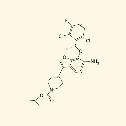 CC(C)OC(=O)N1CC=C(c2coc3c(O[C@H](C)c4c(Cl)ccc(F)c4Cl)c(N)ncc23)CC1